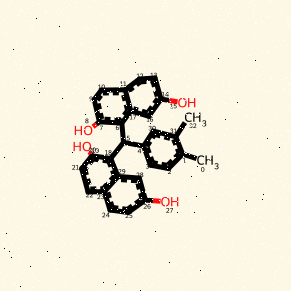 Cc1ccc(C(c2c(O)ccc3ccc(O)cc23)c2c(O)ccc3ccc(O)cc23)cc1C